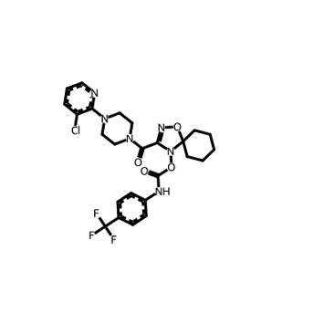 O=C(Nc1ccc(C(F)(F)F)cc1)ON1C(C(=O)N2CCN(c3ncccc3Cl)CC2)=NOC12CCCCC2